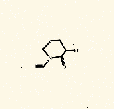 C=CN1CCCC(CC)C1=O